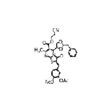 CC(=O)Oc1ccc(C=c2sc3n(c2=O)C(C2=COC(Cc4ccccc4)O2)C(C(=O)OCCC#N)=C(C)N=3)cc1OC(C)=O